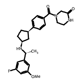 COc1cc(F)cc([C@@H](C)N[C@H]2CC[C@@H](c3ccc(C(=O)N4CCNC(=O)C4)cc3)C2)c1